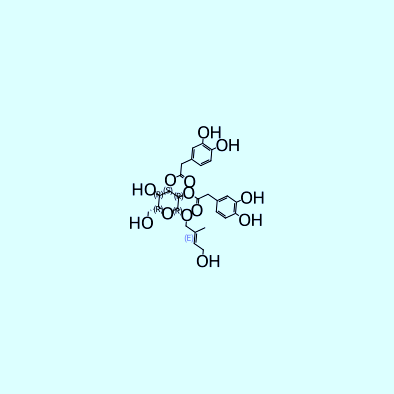 C/C(=C\CO)CO[C@@H]1O[C@H](CO)[C@@H](O)[C@H](OC(=O)Cc2ccc(O)c(O)c2)[C@H]1OC(=O)Cc1ccc(O)c(O)c1